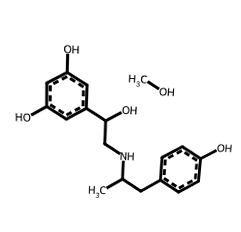 CC(Cc1ccc(O)cc1)NCC(O)c1cc(O)cc(O)c1.CO